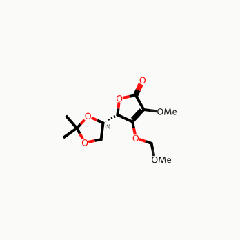 COCOC1=C(OC)C(=O)OC1[C@@H]1COC(C)(C)O1